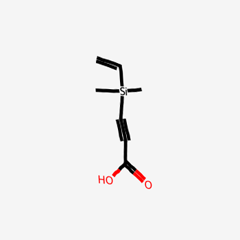 C=C[Si](C)(C)C#CC(=O)O